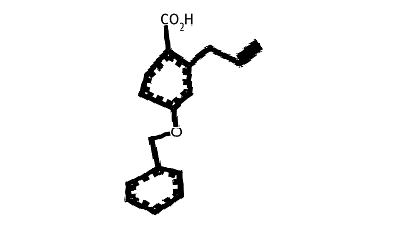 C=CCc1cc(OCc2ccccc2)ccc1C(=O)O